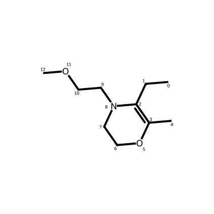 CCC1=C(C)OCCN1CCOC